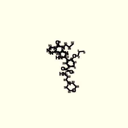 CCCOc1ccc(S(=O)(=O)NCCN2CCOCC2)cc1-c1nc2c([nH]1)c1nncn1c(=O)n2CCC